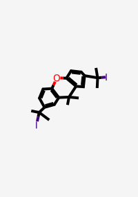 CC(C)(I)c1ccc2c(c1)C(C)(C)c1cc(C(C)(C)I)ccc1O2